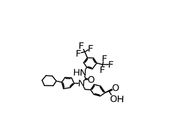 O=C(O)c1ccc(CN(C(=O)Nc2cc(C(F)(F)F)cc(C(F)(F)F)c2)c2ccc(C3CCCCC3)cc2)cc1